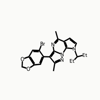 CCC(CC)n1ccc2c(C)nc3c(-c4cc5c(cc4Br)OCO5)c(C)nn3c21